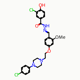 COc1cc(OCCN2CCN(c3ccc(Cl)cc3)CC2)ccc1/C=N/NC(=O)c1ccc(O)c(Cl)c1